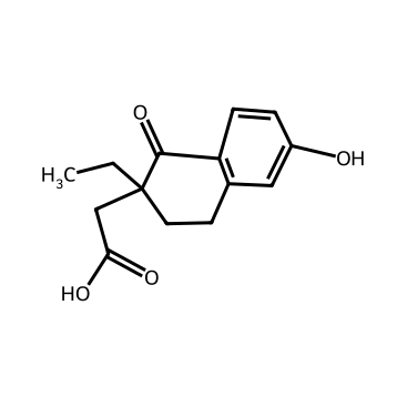 CCC1(CC(=O)O)CCc2cc(O)ccc2C1=O